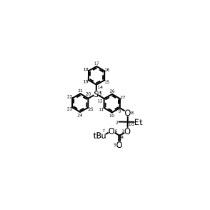 CCC(C)(OC(=O)OC(C)(C)C)Oc1ccc([S+](c2ccccc2)c2ccccc2)cc1